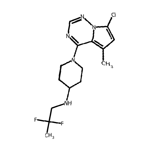 Cc1cc(Cl)n2ncnc(N3CCC(NCC(C)(F)F)CC3)c12